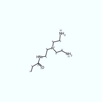 CCC(=O)NCCN(CCN)CCN